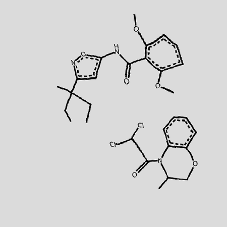 CC1COc2ccccc2N1C(=O)C(Cl)Cl.CCC(C)(CC)c1cc(NC(=O)c2c(OC)cccc2OC)on1